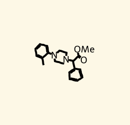 COC(=O)C(c1ccccc1)N1CCN(c2ccccc2C)CC1